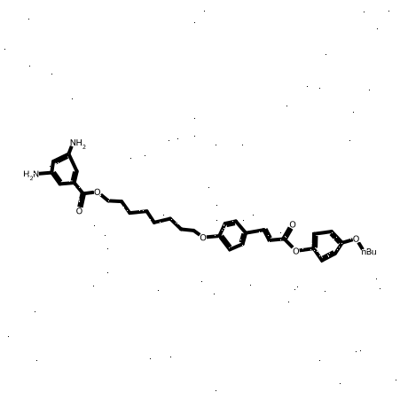 CCCCOc1ccc(OC(=O)/C=C/c2ccc(OCCCCCCCCOC(=O)c3cc(N)cc(N)c3)cc2)cc1